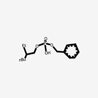 CCCCC(CC)COP(=O)(O)OCc1ccccc1